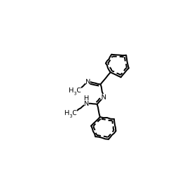 C/N=C(\N=C(/NC)c1ccccc1)c1ccccc1